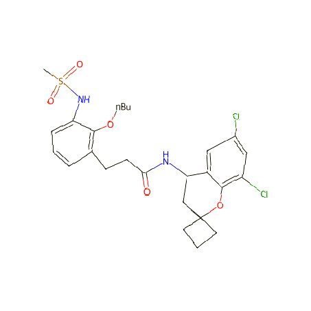 CCCCOc1c(CCC(=O)NC2CC3(CCC3)Oc3c(Cl)cc(Cl)cc32)cccc1NS(C)(=O)=O